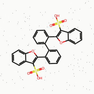 O=S(=O)(O)c1c(-c2ccccc2-c2ccccc2-c2oc3ccccc3c2S(=O)(=O)O)oc2ccccc12